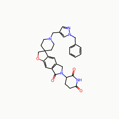 O=C1CCC(N2Cc3cc4c(cc3C2=O)OCC42CCN(Cc3cnn(Cc4ccccc4)c3)CC2)C(=O)N1